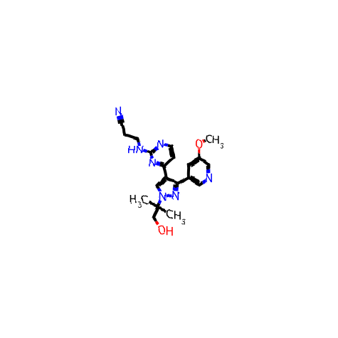 COc1cncc(-c2nn(C(C)(C)CO)cc2-c2ccnc(NCCC#N)n2)c1